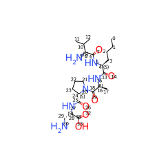 CCCC[C@H](NC(=O)[C@@H](N)C(C)C)C(=O)N[C@@H](C)C(=O)N1CCC[C@H]1C(=O)N[C@@H](CN)C(=O)O